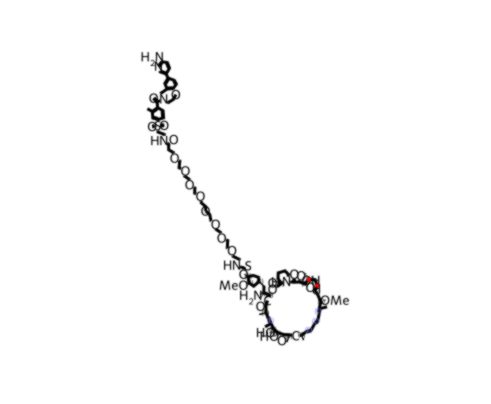 CO[C@H]1C[C@@H]2CC[C@@H](C)[C@@](O)(O2)C(=O)C(=O)N2CCCC[C@H]2C(=O)O[C@H]([C@H](N)C[C@@H]2CC[C@@H](OC(=S)NCCOCCOCCOCCOCCOCCOCCOCCOCCC(=O)NCCS(=O)(=O)c3ccc(C(=O)N4CCOc5ccc(-c6ccc(N)nc6)cc5C4)c(C)c3)[C@H](OC)C2)CC(=O)[C@H](C)/C=C(\C)[C@@H](O)[C@@H](O)C(=O)[C@H](C)C[C@H](C)/C=C/C=C/C=C/1C